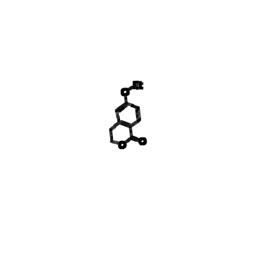 CCOc1ccc2c(c1)CCOC2=O